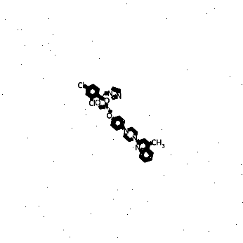 Cc1cc(N2CCN(c3ccc(OC[C@@H]4CO[C@@](Cn5ccnc5)(c5ccc(Cl)cc5Cl)O4)cc3)CC2)nc2ccccc12